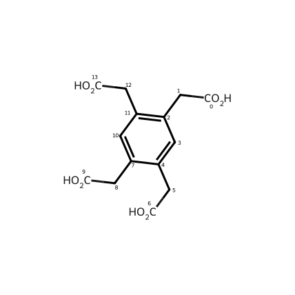 O=C(O)Cc1cc(CC(=O)O)c(CC(=O)O)cc1CC(=O)O